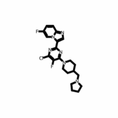 Fc1ccc2ncc(-c3nc(Cl)c(F)c(N4CCC(CN5CCCC5)CC4)n3)n2c1